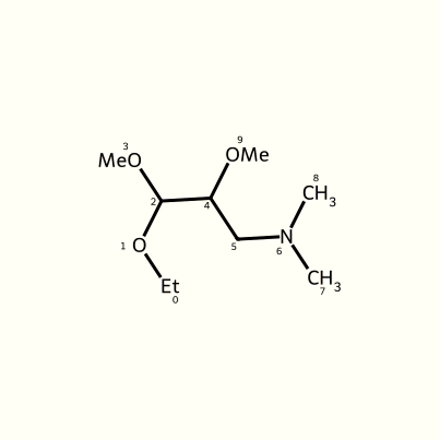 CCOC(OC)C(CN(C)C)OC